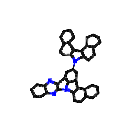 c1ccc2c(c1)ccc1c2c2c3ccccc3ccc2n1-c1cc2c3nc4ccccc4nc3n3c4ccc5ccccc5c4c(c1)c23